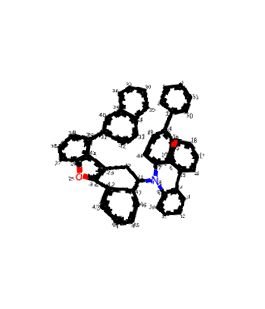 c1ccc(-c2ccc(N(c3ccccc3-c3ccccc3)C3Cc4c(oc5cccc(-c6ccc7ccccc7c6)c45)-c4ccccc43)cc2)cc1